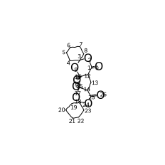 O=C1OC2(CCCCC2)OC(=O)C1CC1C(=O)OC2(CCCCC2)OC1=O